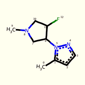 Cc1[c]cnn1C1CN(C)CC1F